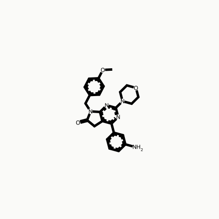 COc1ccc(CN2C(=O)Cc3c(-c4cccc(N)c4)nc(N4CCOCC4)nc32)cc1